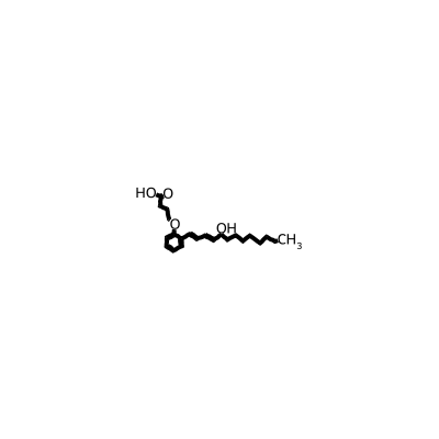 CCCCCCCCC(O)/C=C/C=C/c1ccccc1OCCCC(=O)O